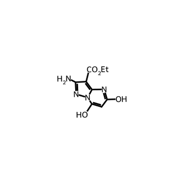 CCOC(=O)c1c(N)nn2c(O)cc(O)nc12